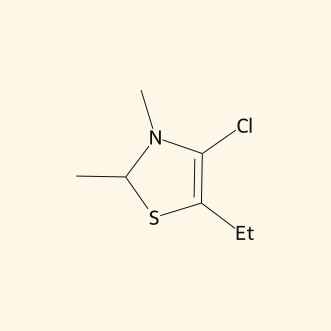 CCC1=C(Cl)N(C)C(C)S1